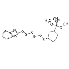 CO[Si](OC)(OC)C1CCCC(SSSSSSc2nc3ccccc3s2)C1